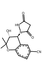 CC1(C)Oc2ccc(C#N)cc2[C@H](N2NC(=O)CC2=O)[C@H]1O